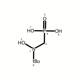 CC(C)(C)N(O)CP(=O)(O)O